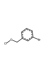 ClOCc1cccc(Br)c1